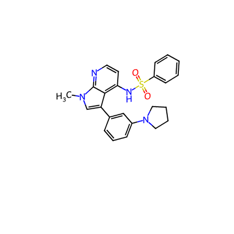 Cn1cc(-c2cccc(N3CCCC3)c2)c2c(NS(=O)(=O)c3ccccc3)ccnc21